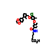 C=C/C(=C\C(=C/C)C(=O)NCCCCCC(=O)O)COc1cc(OCc2cccc(-c3ccc4c(c3)OCCO4)c2C)c(Cl)cc1C